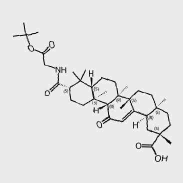 CC(C)(C)OC(=O)CNC(=O)[C@H]1CC[C@]2(C)[C@H]3C(=O)C=C4[C@@H]5C[C@@](C)(C(=O)O)CC[C@]5(C)CC[C@@]4(C)[C@]3(C)CC[C@H]2C1(C)C